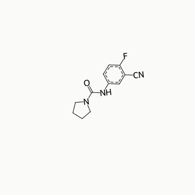 N#Cc1cc(NC(=O)N2CCCC2)ccc1F